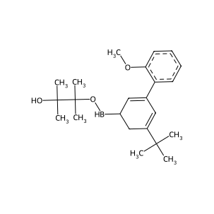 COc1ccccc1C1=CC(BOC(C)(C)C(C)(C)O)CC(C(C)(C)C)=C1